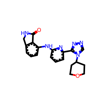 O=C1NCc2cccc(Nc3cccc(-c4nncn4C4CCOCC4)n3)c21